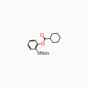 CCCCCCCCCc1ccc[c]c1OC(=O)C1CCCCC1